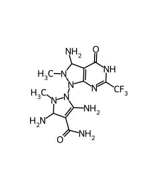 CN1C(N)C(C(N)=O)=C(N)N1N1c2nc(C(F)(F)F)[nH]c(=O)c2C(N)N1C